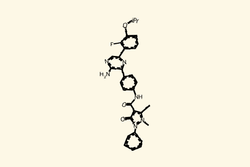 Cc1c(C(=O)Nc2ccc(-c3nc(-c4cccc(OC(C)C)c4F)cnc3N)cc2)c(=O)n(-c2ccccc2)n1C